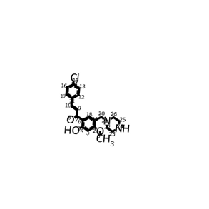 COc1cc(O)c(C(=O)/C=C/c2ccc(Cl)cc2)cc1CN1CCNCC1